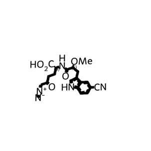 CO[C@@H](Cc1c[nH]c2ccc(C#N)cc12)C(=O)N[C@@H](CCC(=O)C=[N+]=[N-])C(=O)O